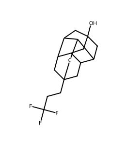 OC12CC3C4CC5(CCC(F)(F)F)CC3C(C1)C(C5)C4C2